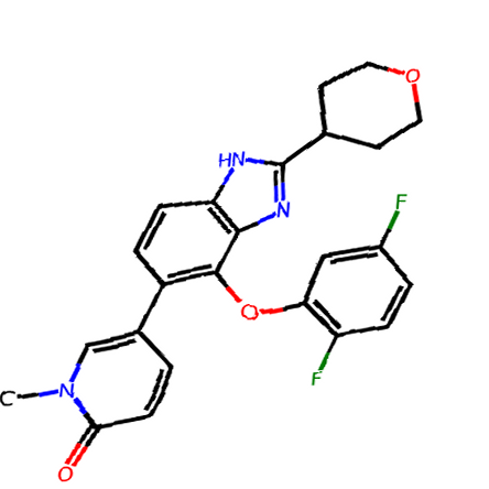 Cn1cc(-c2ccc3[nH]c(C4CCOCC4)nc3c2Oc2cc(F)ccc2F)ccc1=O